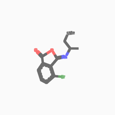 CSCC(C)/N=C1\OC(=O)c2cccc(Br)c21